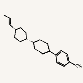 C/C=C/[C@H]1CC[C@H](C2CCC(c3ccc(C#N)cc3)CC2)CC1